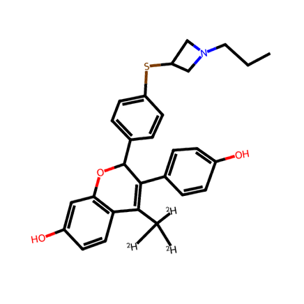 [2H]C([2H])([2H])C1=C(c2ccc(O)cc2)C(c2ccc(SC3CN(CCC)C3)cc2)Oc2cc(O)ccc21